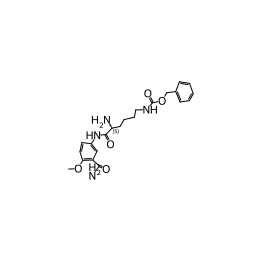 COc1ccc(NC(=O)[C@@H](N)CCCCNC(=O)OCc2ccccc2)cc1C(N)=O